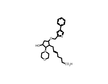 O=C(O)CCCC=CCC1C(OCc2cc(-c3ccccc3)cs2)CC(O)C1N1CCOCC1